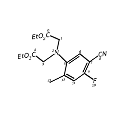 CCOC(=O)CN(CC(=O)OCC)c1cc(C#N)c(F)cc1C